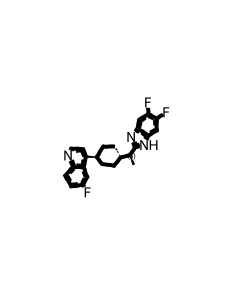 C[C@H](c1nc2cc(F)c(F)cc2[nH]1)[C@H]1CC[C@H](c2ccnc3ccc(F)cc32)CC1